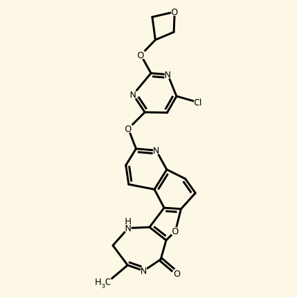 CC1=NC(=O)c2oc3ccc4nc(Oc5cc(Cl)nc(OC6COC6)n5)ccc4c3c2NC1